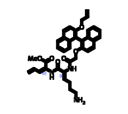 C=C/C=C(/NC(=O)/C(=C/CCCN)NC(=O)COc1ccc2ccccc2c1-c1c(OCC=C)ccc2ccccc12)C(=O)OC